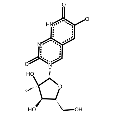 C[C@@]1(O)[C@H](O)[C@@H](CO)O[C@H]1n1cc2cc(Cl)c(=O)[nH]c2nc1=O